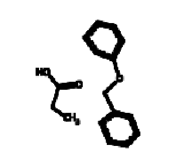 CCC(=O)O.c1ccc(COc2ccccc2)cc1